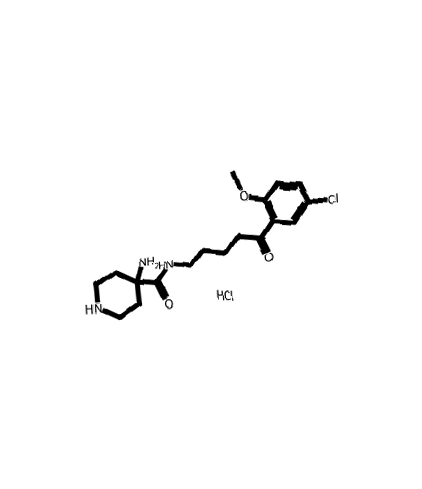 COc1ccc(Cl)cc1C(=O)CCCCNC(=O)C1(N)CCNCC1.Cl